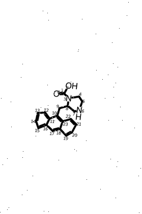 O=C(O)N1CCNCC1Cc1c2ccccc2cc2ccccc12